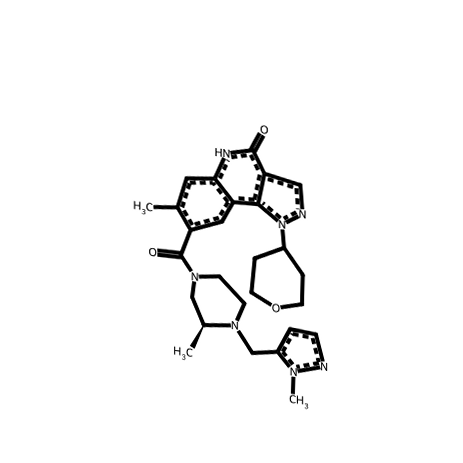 Cc1cc2[nH]c(=O)c3cnn(C4CCOCC4)c3c2cc1C(=O)N1CCN(Cc2ccnn2C)[C@@H](C)C1